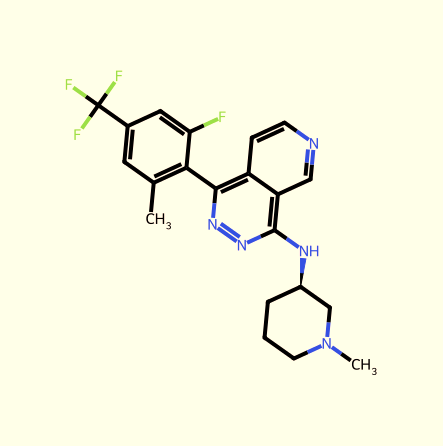 Cc1cc(C(F)(F)F)cc(F)c1-c1nnc(N[C@@H]2CCCN(C)C2)c2cnccc12